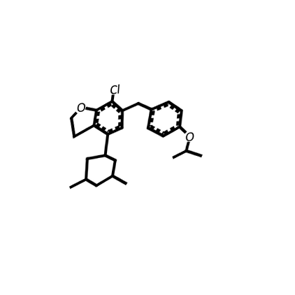 CC1CC(C)CC(c2cc(Cc3ccc(OC(C)C)cc3)c(Cl)c3c2CCO3)C1